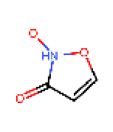 O=C1C=CO[NH+]1[O-]